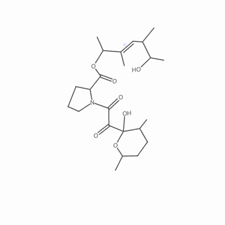 C/C(=C\C(C)C(C)O)C(C)OC(=O)C1CCCN1C(=O)C(=O)C1(O)OC(C)CCC1C